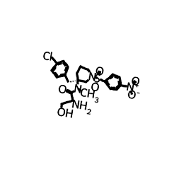 CN(C(=O)[C@@H](N)CO)[C@@]1(Cc2ccc(Cl)cc2)CCCN(S(=O)(=O)c2ccc([N+](=O)[O-])cc2)C1